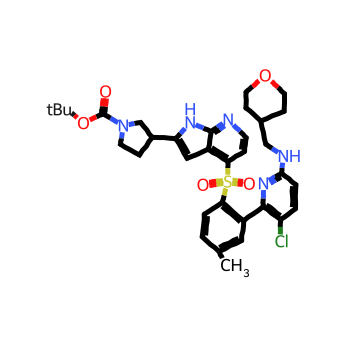 Cc1ccc(S(=O)(=O)c2ccnc3[nH]c(C4CCN(C(=O)OC(C)(C)C)C4)cc23)c(-c2nc(NCC3CCOCC3)ccc2Cl)c1